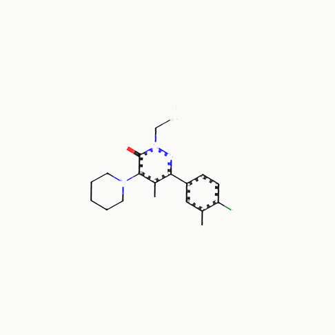 Cc1cc(-c2nn(CC(C)C)c(=O)c(N3CCCCC3)c2C)ccc1F.Cl